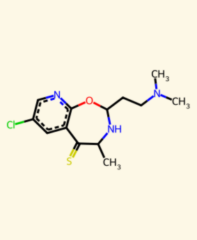 CC1NC(CCN(C)C)Oc2ncc(Cl)cc2C1=S